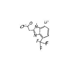 Cn1c(CC(=O)[O-])nc2c(C(F)(F)F)cccc21.[Li+]